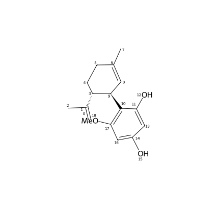 C=C(C)[C@@H]1CCC(C)=C[C@H]1c1c(O)cc(O)cc1OC